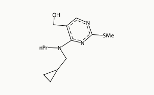 CCCN(CC1CC1)c1nc(SC)ncc1CO